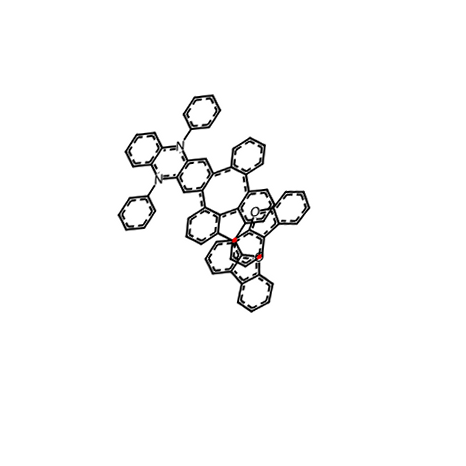 c1ccc(-n2c3ccccc3n(-c3ccccc3)c3cc4c(cc32)c2ccccc2c2cccc(-c3cccc5c3oc3ccccc35)c2c2c(-c3cccc5c3oc3ccccc35)cccc42)cc1